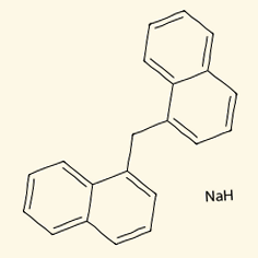 [NaH].c1ccc2c(Cc3cccc4ccccc34)cccc2c1